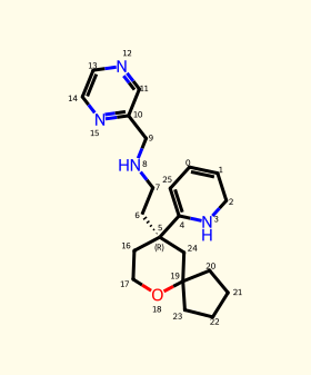 C1=CCNC([C@]2(CCNCc3cnccn3)CCOC3(CCCC3)C2)=C1